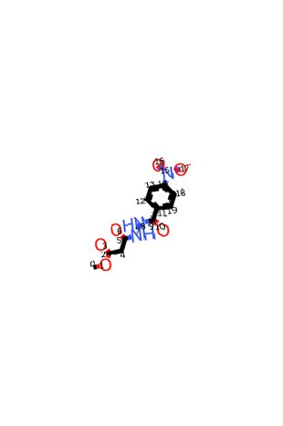 COC(=O)CC(=O)NNC(=O)c1ccc([N+](=O)[O-])cc1